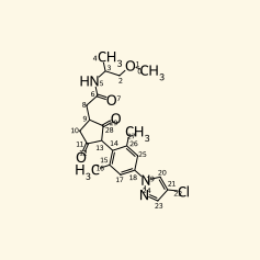 COCC(C)NC(=O)CC1CC(=O)C(c2c(C)cc(-n3cc(Cl)cn3)cc2C)C1=O